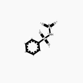 O=[SH](=O)NS(=O)(=O)c1ccccc1